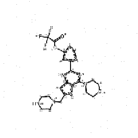 O=C(Oc1cccc(-c2nc(N3CCOCC3)c3sc(CN4CCNCC4)cc3n2)c1)C(F)(F)F